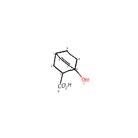 O=C(O)C1CC2C=CC1(O)CC2